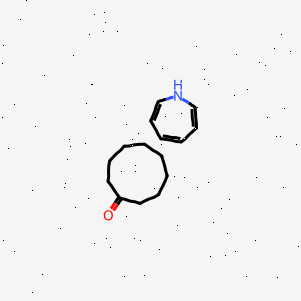 C1=CC=CNC=C1.O=C1CCCCCCCC1